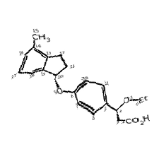 CCO[C@@H](CC(=O)O)c1ccc(O[C@@H]2CCc3c(C)cccc32)cc1